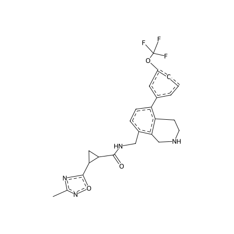 Cc1noc(C2CC2C(=O)NCc2ccc(-c3cccc(OC(F)(F)F)c3)c3c2CNCC3)n1